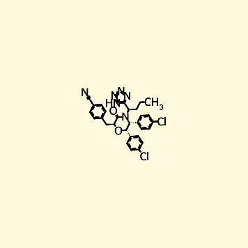 CCC[C@H](c1nnn[nH]1)N1C(=O)[C@H](Cc2ccc(C#N)cc2)O[C@@H](c2ccc(Cl)cc2)[C@H]1c1ccc(Cl)cc1